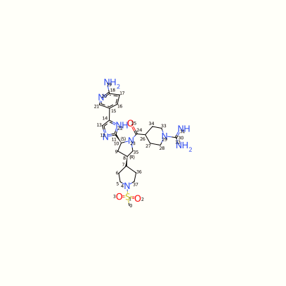 CS(=O)(=O)N1CCC([C@H]2C[C@@H](c3ncc(-c4ccc(N)nc4)[nH]3)N(C(=O)C3CCN(C(=N)N)CC3)C2)CC1